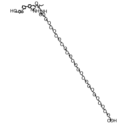 CCCN(CCCNC(=O)OCCOCCOCCOCCOCCOCCOCCOCCOCCOCCOCCOCCOCCOCCOCCOCCOCCOCCOCCOCCOCCOCCOCCOCCOCCC(=O)O)C(=O)C1=Cc2ccc(-c3cccc(SN4CC(CO)C4)c3)cc2N=C(N)C1